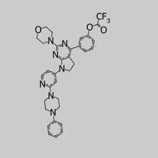 O=C(Oc1cccc(-c2nc(N3CCOCC3)nc3c2CCN3c2ccnc(N3CCN(c4ccccc4)CC3)c2)c1)C(F)(F)F